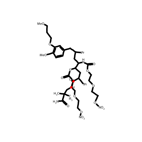 COCCCOc1cc(CC(CC(NC(=O)OCCOCCO[N+](=O)[O-])C(CC(C(=O)NCC(C)(C)C(N)=O)C(C)C)OC(=O)OCCOCCO[N+](=O)[O-])C(C)C)ccc1OC